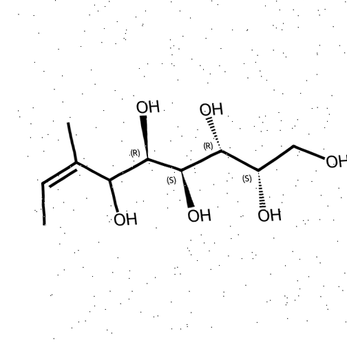 CC=C(C)C(O)[C@@H](O)[C@H](O)[C@H](O)[C@@H](O)CO